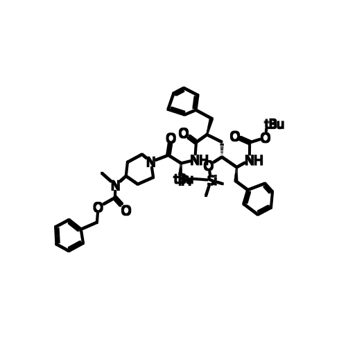 CC(C)[C@H](NC(=O)[C@@H](Cc1ccccc1)C[C@@H](O[Si](C)(C)C(C)(C)C)[C@H](Cc1ccccc1)NC(=O)OC(C)(C)C)C(=O)N1CCC(N(C)C(=O)OCc2ccccc2)CC1